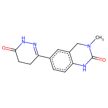 CN1Cc2cc(C3=NNC(=O)CC3)ccc2NC1=O